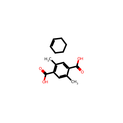 C1=CCCCC1.Cc1cc(C(=O)O)c(C)cc1C(=O)O